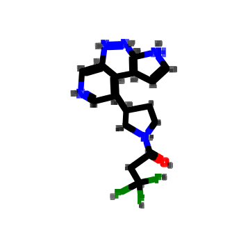 O=C(CC(F)(F)F)N1CCC(c2cncc3nnc4[nH]ccc4c23)C1